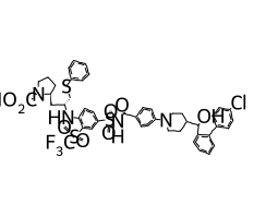 O=C(NS(=O)(=O)c1ccc(N[C@@H](CSc2ccccc2)C[C@@H]2CCCN2C(=O)O)c(S(=O)(=O)C(F)(F)F)c1)c1ccc(N2CCC([C@@H](O)c3ccccc3-c3ccc(Cl)cc3)CC2)cc1